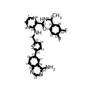 CC(NC(=O)c1nccnc1NCc1ccc(-c2ccc3ncnc(N)c3c2)s1)c1ccc(F)c(F)c1